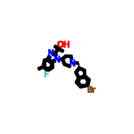 Cc1cc2nc(C(C)(C)O)n(C3CCN(C[C@H]4Cc5ccc(Br)cc5C4)CC3)c2cc1F